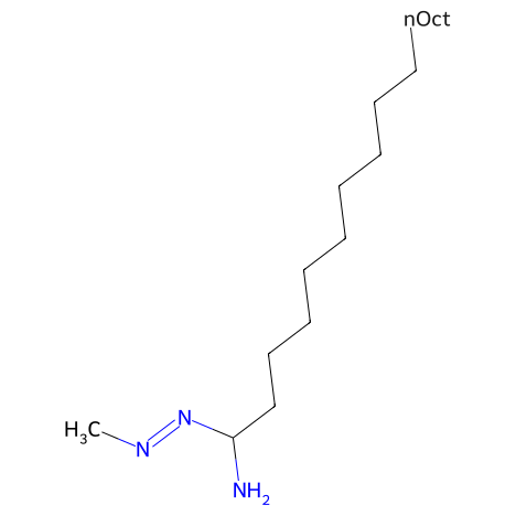 CCCCCCCCCCCCCCCCCC(N)N=NC